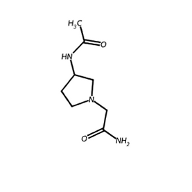 CC(=O)NC1CCN(CC(N)=O)C1